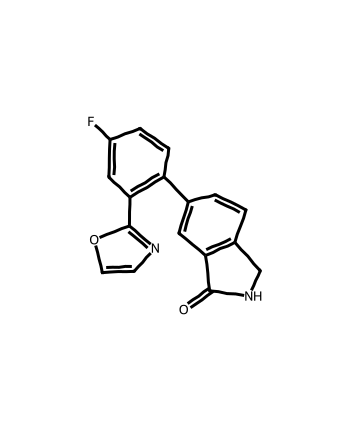 O=C1NCc2ccc(-c3ccc(F)cc3-c3ncco3)cc21